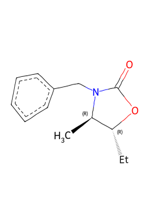 CC[C@H]1OC(=O)N(Cc2ccccc2)[C@@H]1C